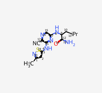 Cc1cc(Nc2nc(NC(CC(C)C)C(N)=O)cnc2C#N)sn1